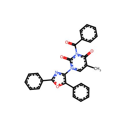 Cc1cn(-c2nc(-c3ccccc3)oc2-c2ccccc2)c(=O)n(C(=O)c2ccccc2)c1=O